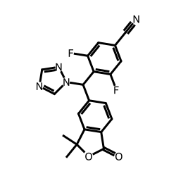 CC1(C)OC(=O)c2ccc(C(c3c(F)cc(C#N)cc3F)n3cncn3)cc21